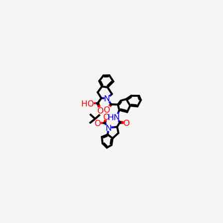 CC(C)(C)OC(=O)N1c2ccccc2CC1C(=O)Nc1cc2ccccc2cc1C(=O)N1Cc2ccccc2CC1C(=O)O